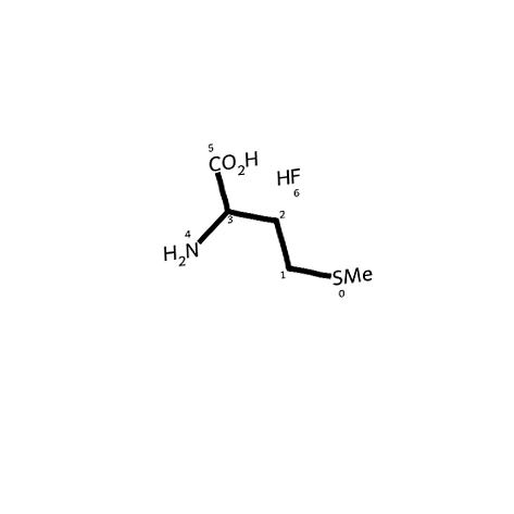 CSCCC(N)C(=O)O.F